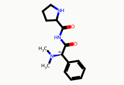 CN(C)[C@@H](C(=O)NC(=O)C1CCCN1)c1ccccc1